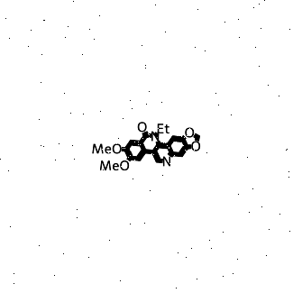 CCn1c(=O)c2cc(OC)c(OC)cc2c2cnc3cc4c(cc3c21)OCO4